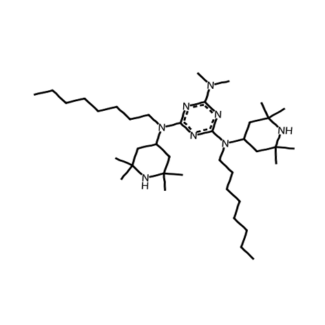 CCCCCCCCN(c1nc(N(C)C)nc(N(CCCCCCCC)C2CC(C)(C)NC(C)(C)C2)n1)C1CC(C)(C)NC(C)(C)C1